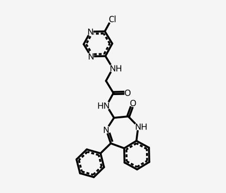 O=C(CNc1cc(Cl)ncn1)NC1N=C(c2ccccc2)c2ccccc2NC1=O